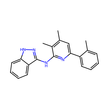 Cc1ccccc1-c1cc(C)c(C)c(Nc2n[nH]c3ccccc23)n1